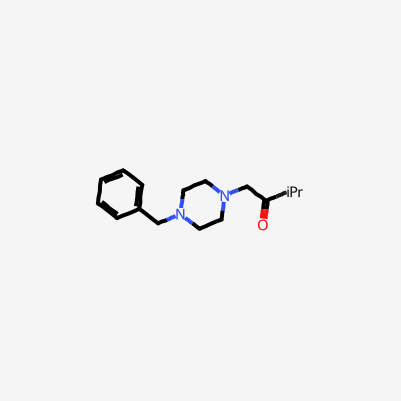 CC(C)C(=O)CN1CCN(Cc2ccccc2)CC1